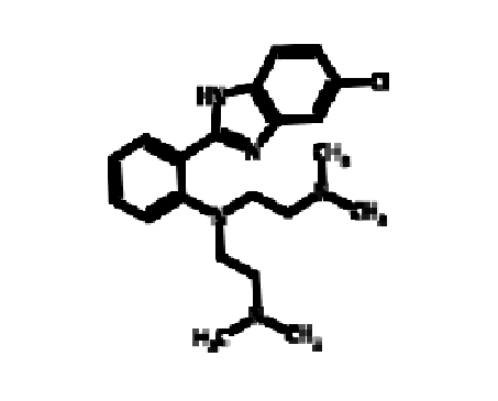 CN(C)CCN(CCN(C)C)c1ccccc1-c1nc2cc(Cl)ccc2[nH]1